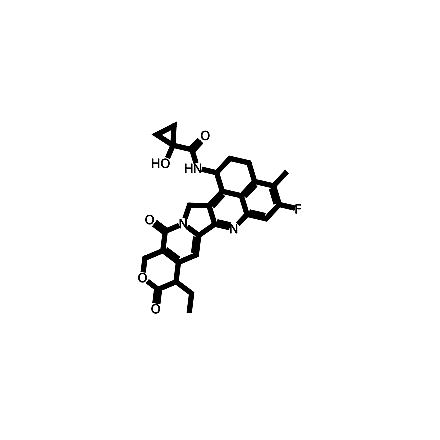 CCC1C(=O)OCc2c1cc1n(c2=O)Cc2c-1nc1cc(F)c(C)c3c1c2C(NC(=O)C1(O)CC1)CC3